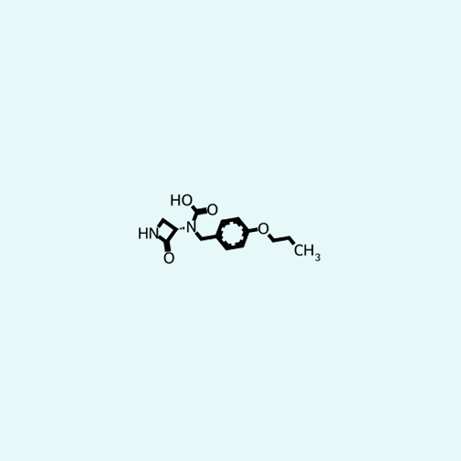 CCCOc1ccc(CN(C(=O)O)[C@H]2CNC2=O)cc1